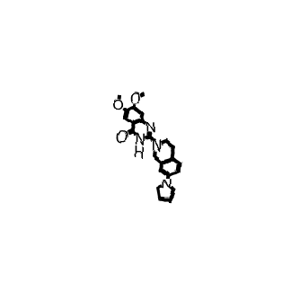 COc1cc2nc(N3CCc4ccc(N5CCCC5)cc4C3)[nH]c(=O)c2cc1OC